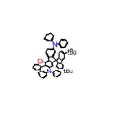 CC(C)(C)c1ccc2c(c1)-c1cc(C(C)(C)C)ccc1C21c2cc(N(c3ccccc3)c3ccccc3)ccc2-c2c1cc(N(c1ccccc1)c1ccccc1)c1c2oc2ccccc21